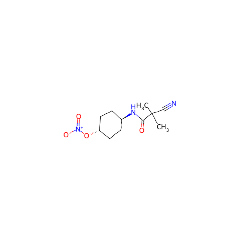 CC(C)(C#N)C(=O)N[C@H]1CC[C@H](O[N+](=O)[O-])CC1